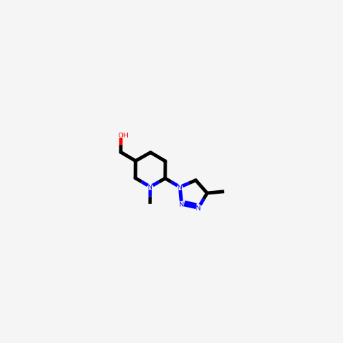 CC1CN(C2CCC(CO)CN2C)N=N1